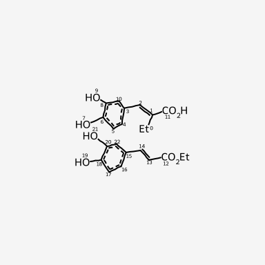 CC/C(=C\c1ccc(O)c(O)c1)C(=O)O.CCOC(=O)/C=C/c1ccc(O)c(O)c1